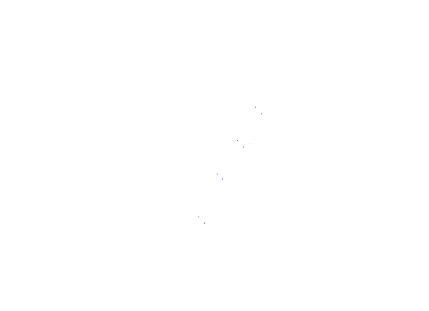 Clc1ccnc(Nc2nc(-c3nccs3)cs2)c1